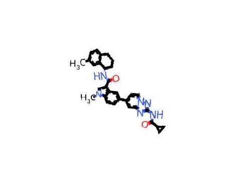 Cc1ccc2c(c1)[C@@H](NC(=O)c1cn(C)c3ccc(-c4ccn5nc(NC(=O)C6CC6)nc5c4)cc13)CCC2